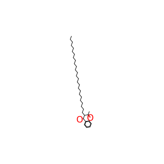 CCCCCCCCCCCCCCCCCCCCCCCCCCC(C(C)=O)C(=O)c1ccccc1